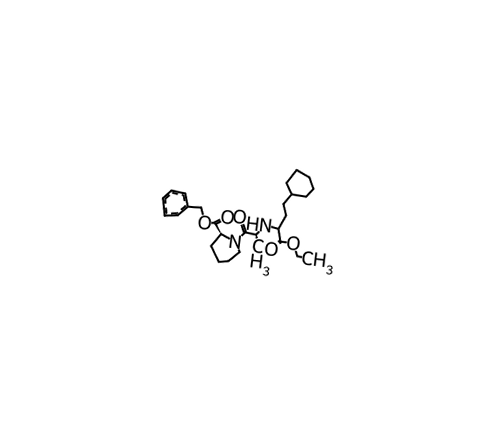 CCOC(=O)C(CCC1CCCCC1)N[C@@H](C)C(=O)N1CCCC[C@H]1C(=O)OCc1ccccc1